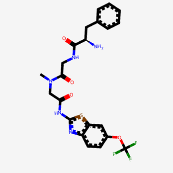 CN(CC(=O)Nc1nc2ccc(OC(F)(F)F)cc2s1)C(=O)CNC(=O)[C@H](N)Cc1ccccc1